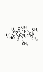 CCCCN1C(=O)[C@@H]([C@H](O)C(C)C)NC(=O)C12CCN(Cc1c(C)nn(C)c1C)CC2.Cl